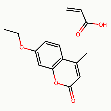 C=CC(=O)O.CCOc1ccc2c(C)cc(=O)oc2c1